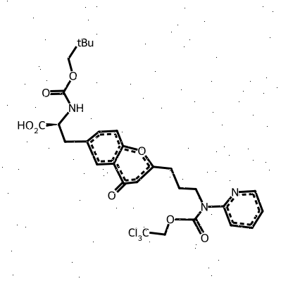 CC(C)(C)COC(=O)N[C@@H](Cc1ccc2oc(CCCN(C(=O)OCC(Cl)(Cl)Cl)c3ccccn3)cc(=O)c2c1)C(=O)O